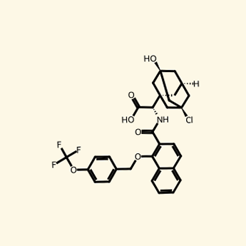 O=C(N[C@H](C(=O)O)[C@]12C[C@H]3C[C@](O)(C[C@](Cl)(C3)C1)C2)c1ccc2ccccc2c1OCc1ccc(OC(F)(F)F)cc1